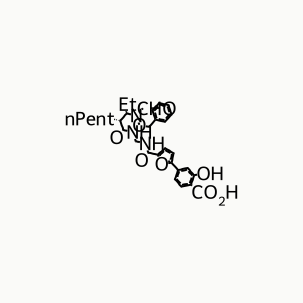 CCCCC[C@@H](C(=O)NCNC(=O)c1ccc(-c2ccc(C(=O)O)c(O)c2)o1)[C@@H](CC)N(C=O)OCc1ccccc1